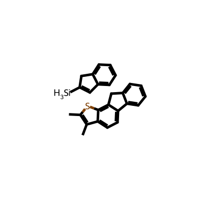 Cc1sc2c3c(ccc2c1C)-c1ccccc1C3.[SiH3]C1=Cc2ccccc2C1